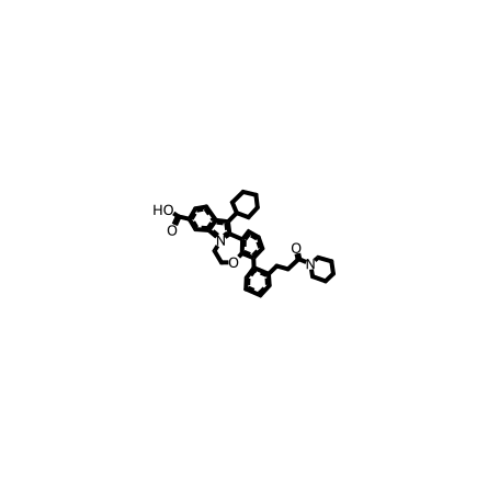 O=C(O)c1ccc2c(C3CCCCC3)c3n(c2c1)CCOc1c(-c2ccccc2CCC(=O)N2CCCCC2)cccc1-3